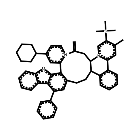 C=C1CC2C(CCc3cc(-c4ccccc4)c4c(oc5ccccc54)c3-c3cc(C4CCCCC4)cc[n+]31)c1ccccc1-c1cc(C)c([Si](C)(C)C)c[n+]12